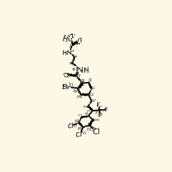 O=C(O)NCCNC(=O)c1ccc(CC=C(c2cc(Cl)c(Cl)c(Cl)c2)C(F)(F)F)cc1Br